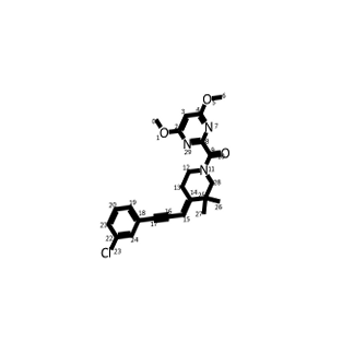 COc1cc(OC)nc(C(=O)N2CC/C(=C\C#Cc3cccc(Cl)c3)C(C)(C)C2)n1